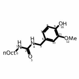 CCCCCCCCNC(=O)NCc1ccc(O)c(OC)c1